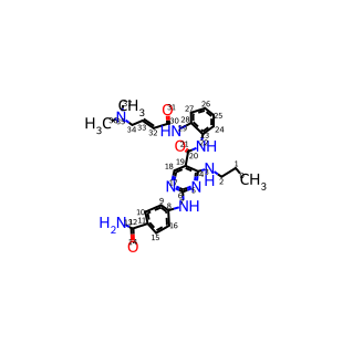 CCCNc1nc(Nc2ccc(C(N)=O)cc2)ncc1C(=O)Nc1ccccc1NC(=O)/C=C/CN(C)C